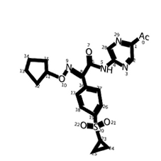 CC(=O)c1cnc(NC(=O)/C(=N/OC2CCCC2)c2ccc(S(=O)(=O)C3CC3)cc2)cn1